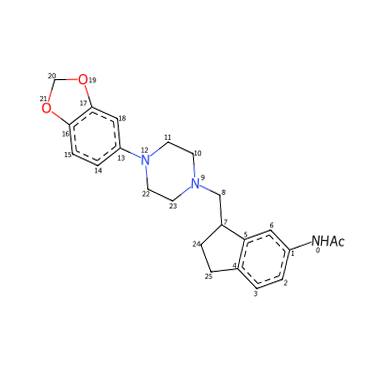 CC(=O)Nc1ccc2c(c1)C(CN1CCN(c3ccc4c(c3)OCO4)CC1)CC2